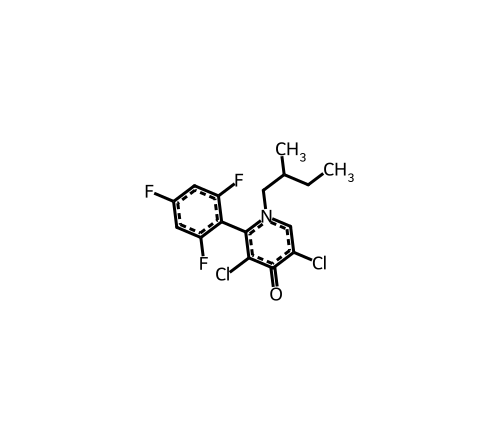 CCC(C)Cn1cc(Cl)c(=O)c(Cl)c1-c1c(F)cc(F)cc1F